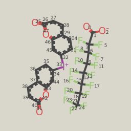 O=C([O-])C(F)(F)C(F)(F)C(F)(F)C(F)(F)C(F)(F)C(F)(F)C(F)(F)F.O=c1ccc2ccc([I+]c3ccc4ccc(=O)oc4c3)cc2o1